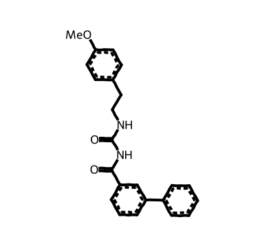 COc1ccc(CCNC(=O)NC(=O)c2cccc(-c3ccccc3)c2)cc1